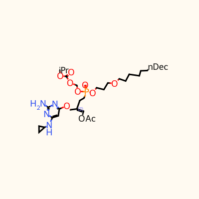 CCCCCCCCCCCCCCCCOCCCOP(=O)(CC/C(=C/OC(C)=O)COc1cc(NC2CC2)nc(N)n1)OCOC(=O)OC(C)C